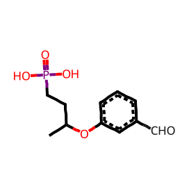 CC(CCP(=O)(O)O)Oc1cccc(C=O)c1